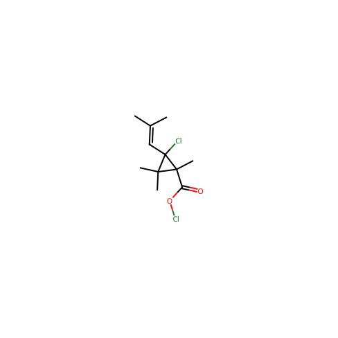 CC(C)=CC1(Cl)C(C)(C)C1(C)C(=O)OCl